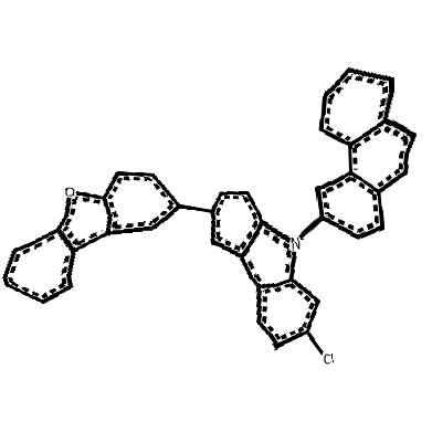 Clc1ccc2c3cc(-c4ccc5oc6ccccc6c5c4)ccc3n(-c3ccc4ccc5ccccc5c4c3)c2c1